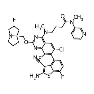 CN(CCCC(=O)N(C)c1cccnc1)c1nc(OC[C@@]23CCCN2C[C@H](F)C3)nc2c(F)c(-c3ccc(F)c4sc(N)c(C#N)c34)c(Cl)cc12